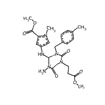 COC(=O)CCN1C(=O)N(N)C(Nc2cc(C(=O)OC)n(C)c2)N(Cc2ccc(C)cc2)C1=O